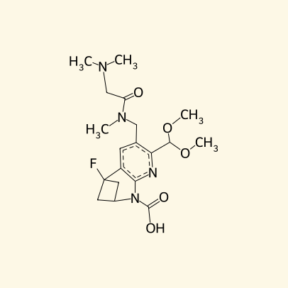 COC(OC)c1nc2c(cc1CN(C)C(=O)CN(C)C)C1(F)CC(C1)N2C(=O)O